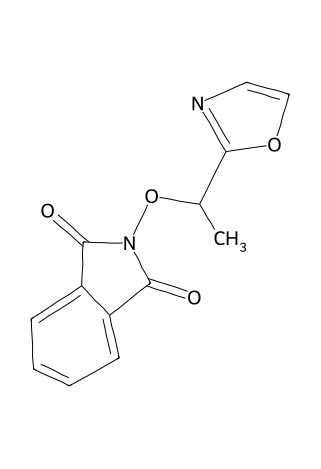 CC(ON1C(=O)c2ccccc2C1=O)c1ncco1